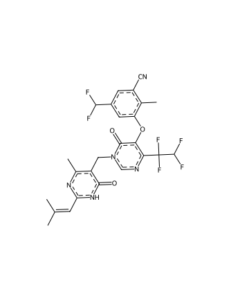 CC(C)=Cc1nc(C)c(Cn2cnc(C(F)(F)C(F)F)c(Oc3cc(C(F)F)cc(C#N)c3C)c2=O)c(=O)[nH]1